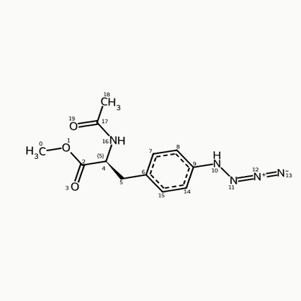 COC(=O)[C@H](Cc1ccc(NN=[N+]=[N-])cc1)NC(C)=O